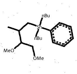 CCC[CH2][Sn]([CH2]CCC)([CH2]C(C)C(COC)OC)[c]1ccccc1